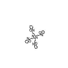 C(=Cc1nc(C=Cc2nc3ccccc3o2)c(C=Cc2nc3ccccc3o2)nc1C=Cc1nc2ccccc2o1)c1nc2ccccc2o1